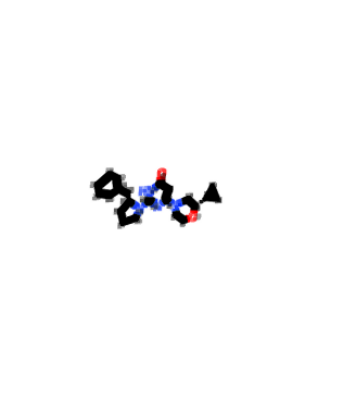 O=c1cc(N2CCO[C@@H](C3CC3)C2)nc(N2CCC[C@H]2Cc2ccccc2)[nH]1